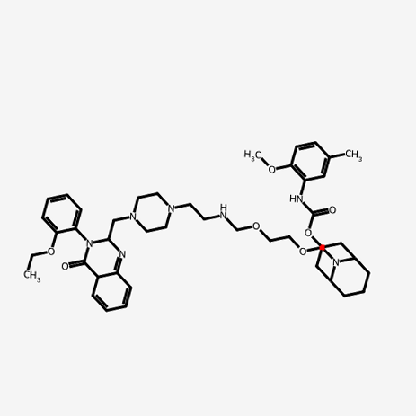 CCOc1ccccc1N1C(=O)C2C=CC=CC2=NC1CN1CCN(CCNCOCCOCN2C3CCCC2CC(OC(=O)Nc2cc(C)ccc2OC)C3)CC1